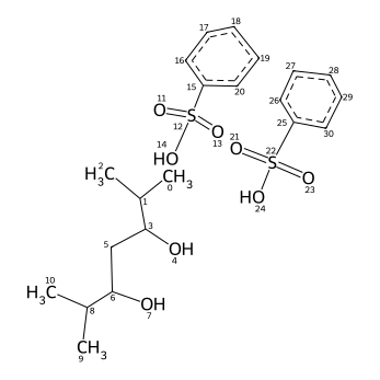 CC(C)C(O)CC(O)C(C)C.O=S(=O)(O)c1ccccc1.O=S(=O)(O)c1ccccc1